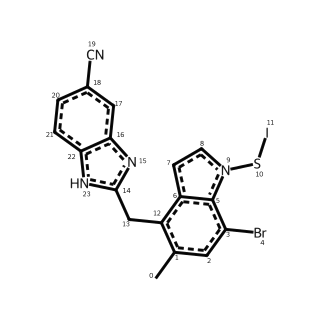 Cc1cc(Br)c2c(ccn2SI)c1Cc1nc2cc(C#N)ccc2[nH]1